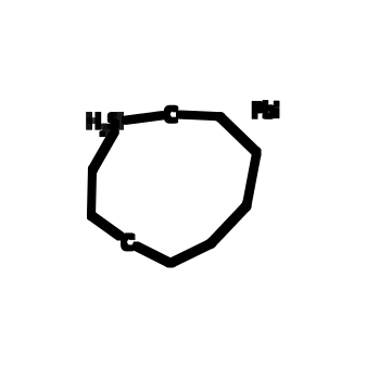 C1CCCC[SiH2]CCCC1.[Pb]